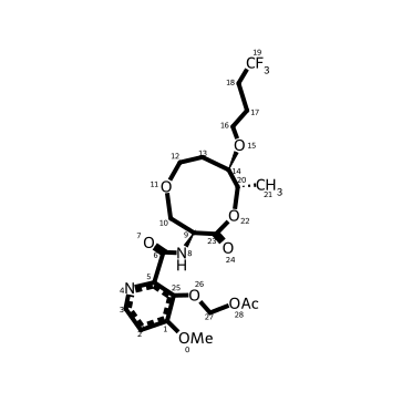 COc1ccnc(C(=O)N[C@H]2COCC[C@@H](OCCCC(F)(F)F)[C@H](C)OC2=O)c1OCOC(C)=O